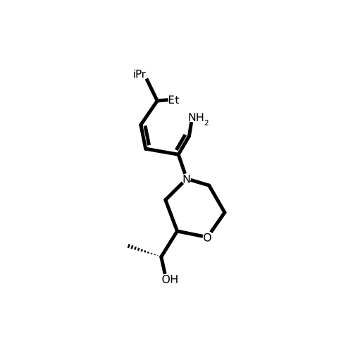 CCC(/C=C\C(=C/N)N1CCOC([C@@H](C)O)C1)C(C)C